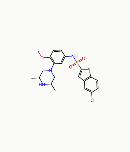 COc1ccc(NS(=O)(=O)c2cc3cc(Cl)ccc3s2)cc1N1CC(C)NC(C)C1